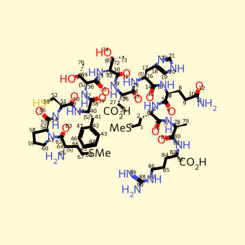 CSCC[C@H](NC(=O)[C@H](CCC(N)=O)NC(=O)[C@H](Cc1c[nH]cn1)NC(=O)[C@H](CC(=O)O)NC(=O)[C@@H](NC(=O)[C@@H](NC(=O)[C@H](Cc1ccccc1)NC(=O)[C@H](CS)NC(=O)[C@@H]1CCCN1C(=O)[C@@H](N)CCSC)[C@@H](C)O)[C@@H](C)O)C(=O)N[C@@H](C)C(=O)N[C@@H](CCCNC(=N)N)C(=O)O